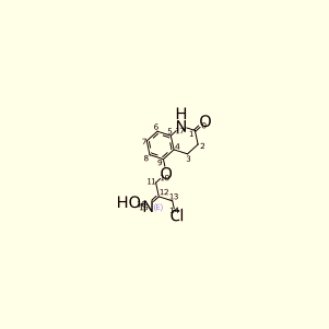 O=C1CCc2c(cccc2OC/C(CCl)=N\O)N1